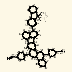 CC1(C)c2ccccc2-c2ccc(-c3ccc4c5c(cccc35)-c3cc5c(-c6ccc(C#N)cc6)cc6c7ccccc7c(-c7ccc(C#N)cc7)cc6c5cc3-4)cc21